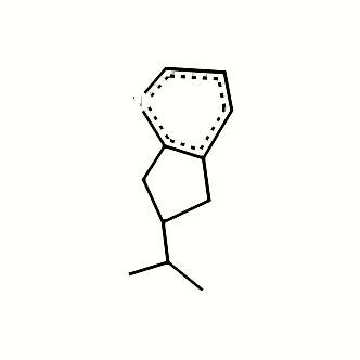 CC(C)C1Cc2cccnc2C1